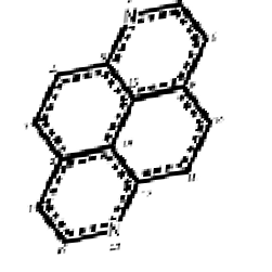 c1cc2ccc3nccc4ccc(n1)c2c43